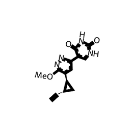 C#C[C@H]1C[C@@H]1c1cc(-c2c[nH]c(=O)[nH]c2=O)nnc1OC